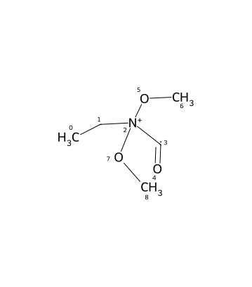 CC[N+]([C]=O)(OC)OC